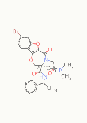 CC(NC(=O)[C@@]1(C)COc2c(oc3cc(Br)ccc23)C(=O)N1CC(=O)N(C)C)c1ccccc1